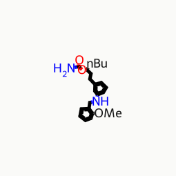 CCCCC(CCc1cccc(NCc2ccccc2OC)c1)OC(N)=O